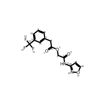 O=C(COC(=O)Cc1cccc(C(F)(F)F)c1)Nc1ccon1